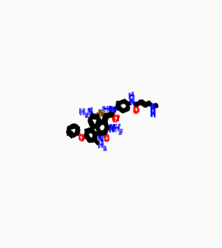 CNC/C=C/C(=O)NC1CCC(NC(=O)c2sc3c(N)ccc4c3c2C(N)C(=O)C4(N)c2ccc(Oc3ccccc3)cc2C)CC1